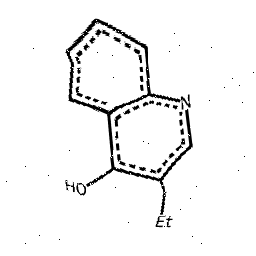 [CH2]Cc1cnc2ccccc2c1O